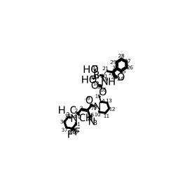 CC(C)(/C=C(\C#N)C(=O)N1CCCC[C@@H]1COC(=O)N[C@@H](Cc1coc2ccccc12)B(O)O)N1CCCC(F)(F)C1